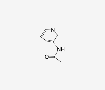 CC(=O)Nc1cccnc1